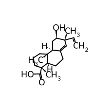 C=C[C@]1(C)C=C2CC[C@@H]3[C@](C)(CCC[C@@]3(C)C(=O)O)[C@H]2C[C@H]1O